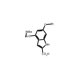 CC(=O)Oc1cc(OC(C)C)cc2[nH]c(C(=O)O)cc12.CNC